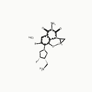 COc1c(N2C[C@H](CN)[C@H](F)C2)c(F)cc2c(=O)n(N)c(=O)n(C3CC3)c12.Cl